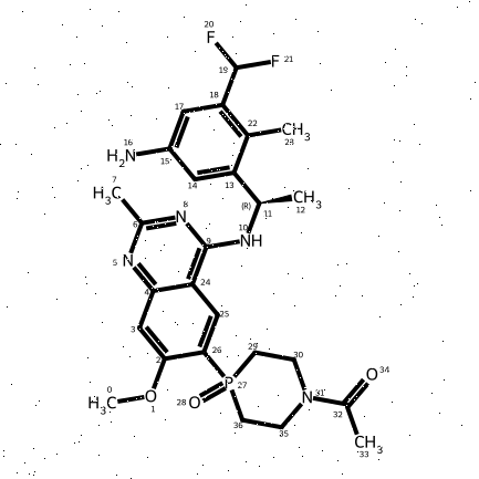 COc1cc2nc(C)nc(N[C@H](C)c3cc(N)cc(C(F)F)c3C)c2cc1P1(=O)CCN(C(C)=O)CC1